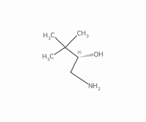 CC(C)(C)[C@H](O)CN